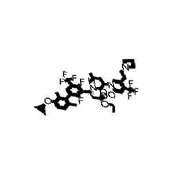 CCOC(=O)C[C@H](NC(=O)C(CC(C)C)n1cc(CCN2CCC2)c(C(F)(F)F)cc1=O)c1c(F)c(-c2c(C)ccc(OC3CC3)c2C)cc(C(F)(F)F)c1F